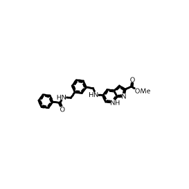 COC(=O)c1cc2cc(NCc3cccc(CNC(=O)c4ccccc4)c3)c[nH]c-2n1